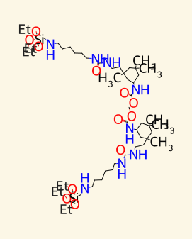 CCO[Si](CNCCCCCCNC(=O)NCCC1(C)CC(NC(=O)OCOC(=O)NC2CC(C)(C)CC(C)(CCNC(=O)NCCCCCCNC[Si](OCC)(OCC)OCC)C2)CC(C)(C)C1)(OCC)OCC